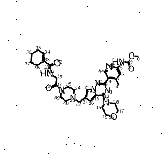 COC(=O)Nc1cc(C)c(-c2nc(N3CCOCC3)c3cc(CN4CCN(C(=O)CNC(=O)C5=CCCCC5)CC4)cn3n2)cn1